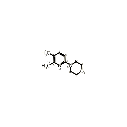 Cc1ccc(N2CCOCC2)nc1C